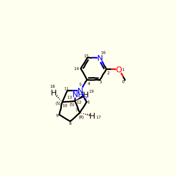 COc1cc(N2C[C@H]3CC[C@@H](C2)[C@@H]3N)ccn1